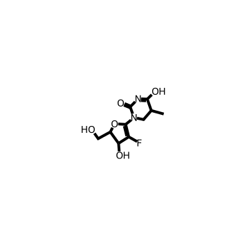 CC1CN(C2=C(F)C(O)C(CO)O2)C(=O)N=C1O